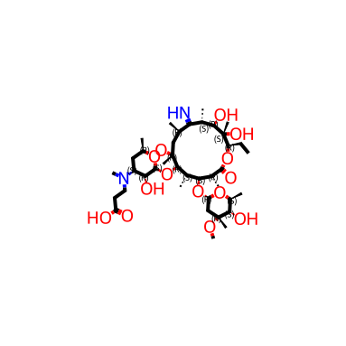 CC[C@H]1OC(=O)[C@H](C)[C@@H](O[C@H]2C[C@@](C)(OC)[C@@H](O)[C@H](C)O2)[C@H](C)[C@@H](O[C@@H]2O[C@H](C)C[C@H](N(C)CCC(=O)O)[C@H]2O)[C@](C)(OC)C[C@@H](C)C(=N)[C@H](C)[C@@H](O)[C@]1(C)O